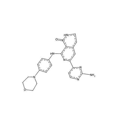 Nc1nccc(-c2cc3cc[nH]c(=O)c3c(Nc3ccc(N4CCOCC4)cc3)n2)n1